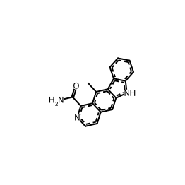 Cc1c2c(C(N)=O)nccc2cc2[nH]c3ccccc3c12